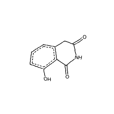 O=C1Cc2cccc(O)c2C(=O)N1